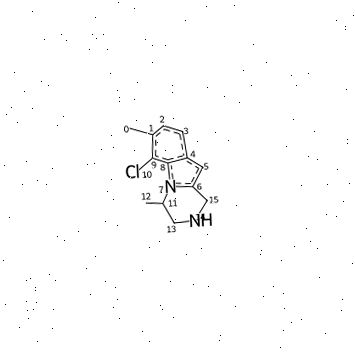 Cc1ccc2cc3n(c2c1Cl)C(C)CNC3